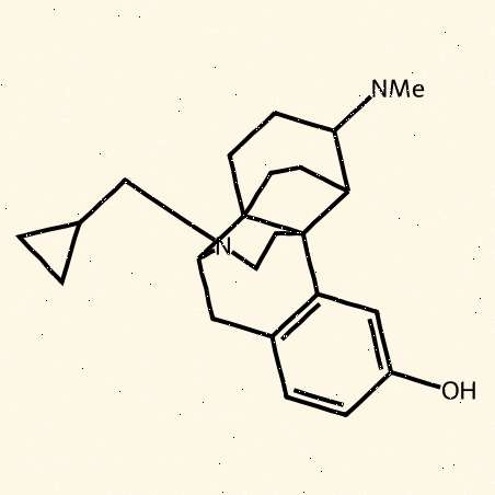 CNC1CCC23CCC1C21CCN(CC2CC2)C3Cc2ccc(O)cc21